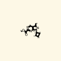 COC(=O)c1ncc2c(C)nn(C3CCC3)c2n1